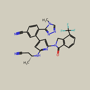 C[C@H](CC#N)Nc1cc(-c2cc(C#N)ccc2-c2nncn2C)cc(N2Cc3c(cccc3C(F)(F)F)C2=O)n1